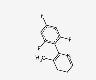 CC1=C(c2c(F)cc(F)cc2F)N=CCC1